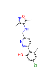 Cc1cc(Cl)cc(O)c1-c1ccc(CNc2c(C)noc2C)nn1